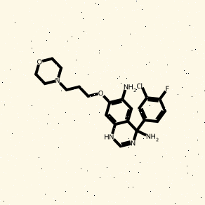 Nc1cc2c(cc1OCCCN1CCOCC1)NC=NC2(N)c1ccc(F)c(Cl)c1